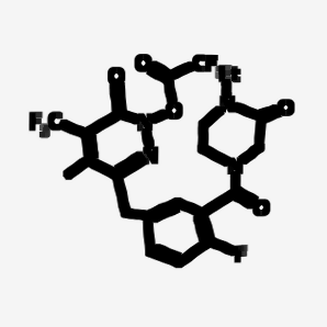 CCN1CCN(C(=O)c2cc(Cc3nn(OC(=O)C(F)(F)F)c(=O)c(C(F)(F)F)c3C)ccc2F)CC1=O